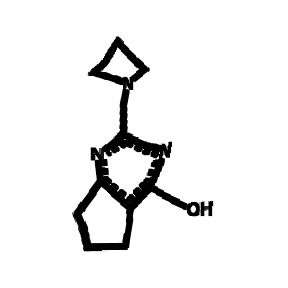 Oc1nc(N2CCC2)nc2c1CCC2